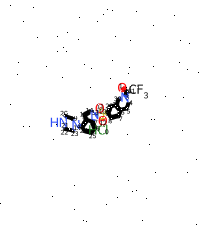 Cl.O=C(N1CCc2ccc(S(=O)(=O)n3ccc4c(N5CCNCC5)cccc43)cc2C1)C(F)(F)F